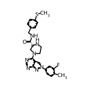 CSc1ccc(CNC(=O)[C@H]2CN(c3ncnc4nn(-c5ccc(C)c(F)c5)cc34)CCN2)cc1